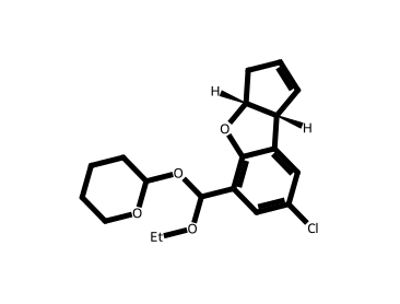 CCOC(OC1CCCCO1)c1cc(Cl)cc2c1O[C@@H]1CC=C[C@H]21